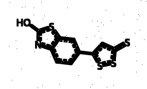 Oc1nc2ccc(-c3cc(=S)ss3)cc2s1